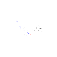 O=C(c1ccc2n1Cc1ccccc1N(C(=O)c1ccc(-c3cccc4ccccc34)cc1Cl)C2)N1CCC(N2CCCC2)CC1